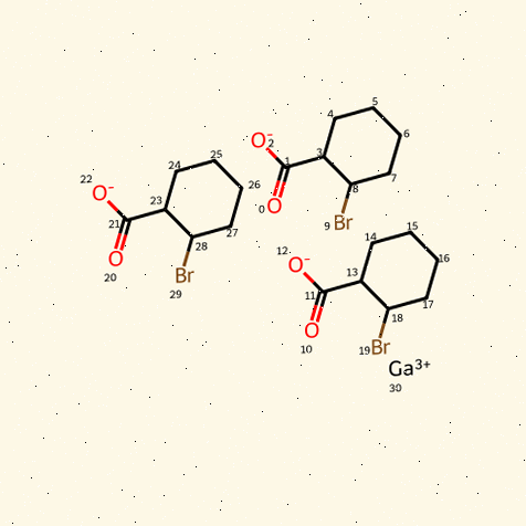 O=C([O-])C1CCCCC1Br.O=C([O-])C1CCCCC1Br.O=C([O-])C1CCCCC1Br.[Ga+3]